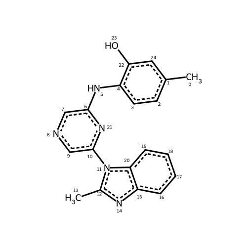 Cc1ccc(Nc2cncc(-n3c(C)nc4ccccc43)n2)c(O)c1